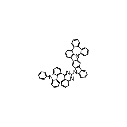 c1ccc(-n2c3ccccc3c3c(-c4nc(-n5c6ccccc6c6cc7c(cc65)c5cccc6c5n7-c5ccccc5-c5ccccc5-6)nc5ccccc45)cccc32)cc1